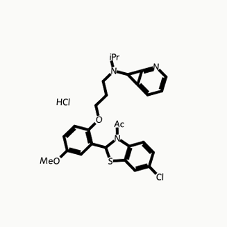 COc1ccc(OCCCN(C(C)C)C2c3cccnc32)c(C2Sc3cc(Cl)ccc3N2C(C)=O)c1.Cl